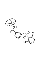 O=C(NC12CC3CC(CC(C3)C1)C2)c1cncc(CS(=O)(=O)c2c(Cl)cccc2Cl)c1